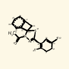 CC(=O)N1N=C(C2=C(F)CCC(F)=C2)SC12Cc1ccccc12